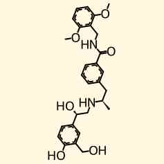 COc1cccc(OC)c1CNC(=O)c1cccc(C[C@@H](C)NC[C@H](O)c2ccc(O)c(CO)c2)c1